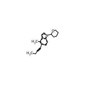 CCC#Cc1ccc2c(ccn2C2CCCCO2)c1C